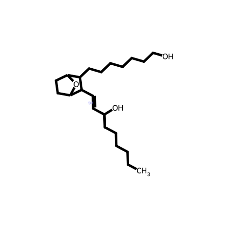 CCCCCCC(O)/C=C/C1C2CCC(O2)C1CCCCCCCO